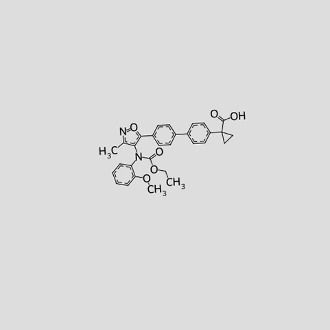 CCOC(=O)N(c1ccccc1OC)c1c(C)noc1-c1ccc(-c2ccc(C3(C(=O)O)CC3)cc2)cc1